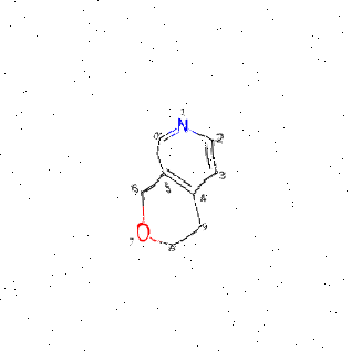 [c]1nccc2c1COCC2